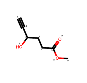 C#CC(O)CCC(=O)OC